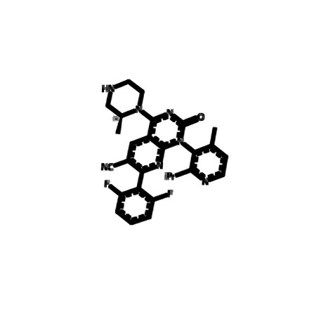 Cc1ccnc(C(C)C)c1-n1c(=O)nc(N2CCNC[C@@H]2C)c2cc(C#N)c(-c3c(F)cccc3F)nc21